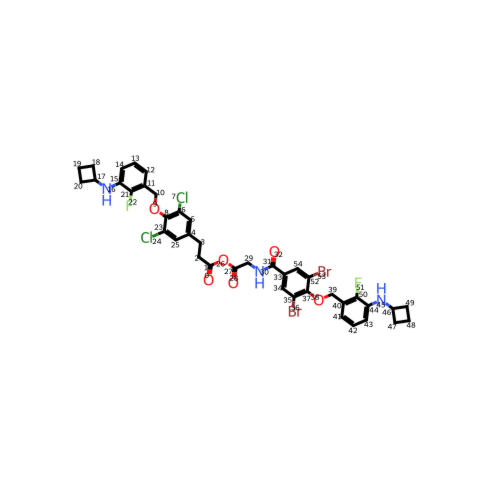 O=C(CCc1cc(Cl)c(OCc2cccc(NC3CCC3)c2F)c(Cl)c1)OC(=O)CNC(=O)c1cc(Br)c(OCc2cccc(NC3CCC3)c2F)c(Br)c1